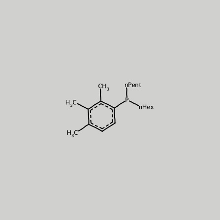 CCCCCCP(CCCCC)c1ccc(C)c(C)c1C